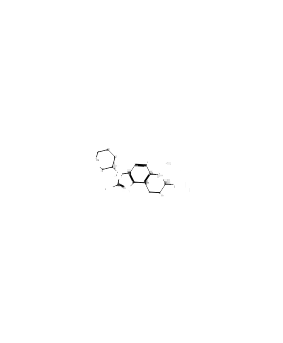 Cc1nc2c3c(ccc2n1C1CCCOC1)N(C)C(C)CC3